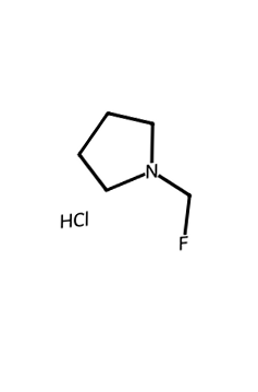 Cl.FCN1CCCC1